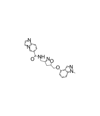 Cn1ncc2c(OCC3CC(CNC(=O)c4ccc5nccn5c4)=NO3)cccc21